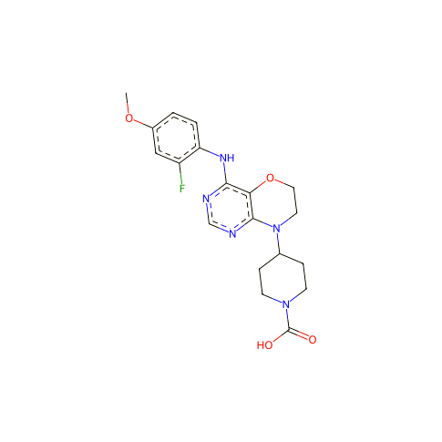 COc1ccc(Nc2ncnc3c2OCCN3C2CCN(C(=O)O)CC2)c(F)c1